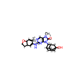 CC1=CC2OCCC2C=C1Nc1ncc2c(n1)n(C1C3CC4CC1CC(O)(C4)C3)c(=O)n2C